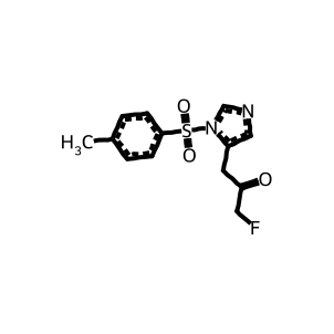 Cc1ccc(S(=O)(=O)n2cncc2CC(=O)CF)cc1